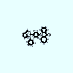 C/C1=C\CC/C=C/N=C(/c2ccc(-n3c4c(c(=O)c5ccccc53)C=CC=CC4)cc2)N1c1ccccc1